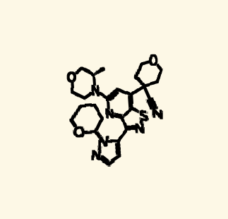 C[C@@H]1COCCN1c1cc(C2(C#N)CCOCC2)c2snc(-c3ccnn3C3CCCCO3)c2n1